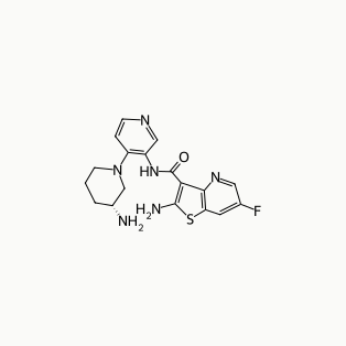 Nc1sc2cc(F)cnc2c1C(=O)Nc1cnccc1N1CCC[C@@H](N)C1